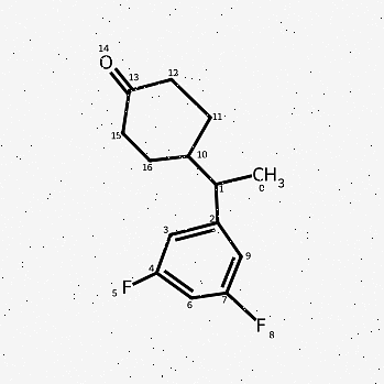 CC(c1cc(F)cc(F)c1)C1CCC(=O)CC1